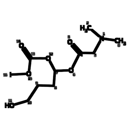 CN(C)CC(=O)OC(CCCO)OC(=O)OI